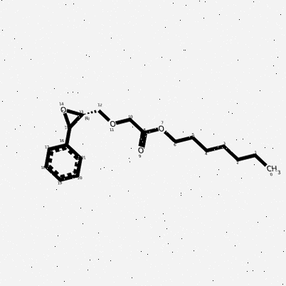 CCCCCCCOC(=O)COC[C@H]1OC1c1ccccc1